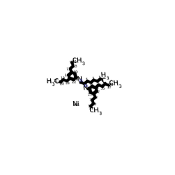 CCCCCCC(/C=N/c1cc(CCCC)cc(CCCC)c1)=N\c1cc(CCCCC)cc(CCCCC)c1.[Ni]